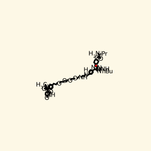 CCCCNc1ncc2c(-c3ccc(CNCCNCCOCCOCCOCCOCCCc4ccc5c(c4)n(C)c(=O)n5C4CCC(=O)NC4=O)cc3)nn([C@H]3CC[C@H](OC(=O)[C@@H](N)C(C)C)CC3)c2n1